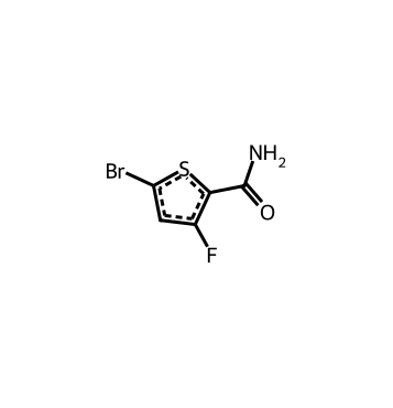 NC(=O)c1sc(Br)cc1F